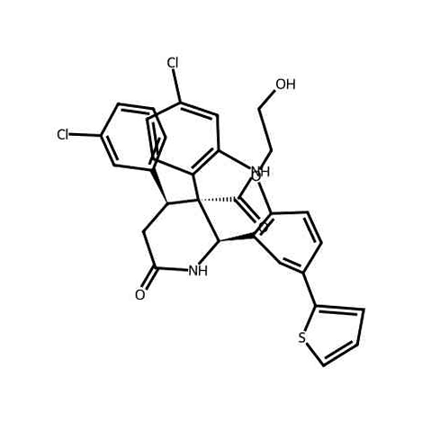 O=C1C[C@@H](c2cccc(Cl)c2)[C@]2(C(=O)Nc3cc(Cl)ccc32)[C@@H](c2cc(-c3cccs3)ccc2OCCO)N1